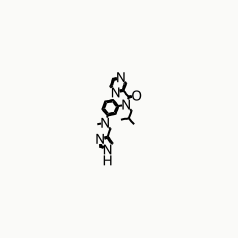 CC(C)CN(C(=O)c1cnccn1)c1cccc(N(C)Cc2c[nH]cn2)c1